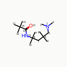 CN(C)CC(C)(C)CC(C)(C)NC(=O)C(C)(C)C